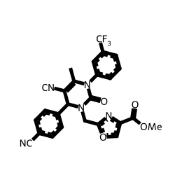 [C-]#[N+]C1=C(C)N(c2cccc(C(F)(F)F)c2)C(=O)N(Cc2nc(C(=O)OC)co2)C1c1ccc(C#N)cc1